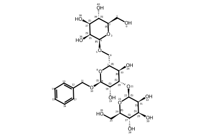 OC[C@H]1O[C@@H](OC[C@H]2O[C@H](OCc3ccccc3)[C@@H](O)[C@@H](O[C@@H]3O[C@H](CO)[C@@H](O)[C@H](O)[C@@H]3O)[C@@H]2O)[C@@H](O)[C@@H](O)[C@@H]1O